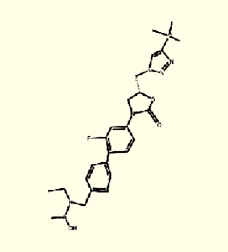 CCN(Cc1ccc(-c2ccc(N3C[C@H](Cn4cc([Si](C)(C)C)nn4)OC3=O)cc2F)cc1)B(C)O